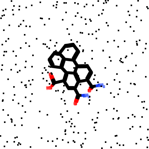 NC(=O)c1ccc2c3cccc4cccc(c5c(C(=O)O)cc(C(N)=O)c1c25)c43